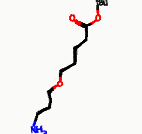 CC(C)(C)OC(=O)CCCCOCCCN